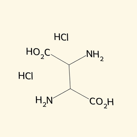 Cl.Cl.NC(C(=O)O)C(N)C(=O)O